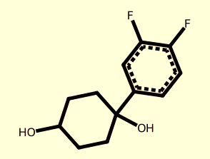 OC1CCC(O)(c2ccc(F)c(F)c2)CC1